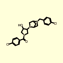 O=C(c1ccc(Cl)cc1)N1CC(O)C(N2CC3CC2CN3Cc2ccc(Cl)cc2)C1